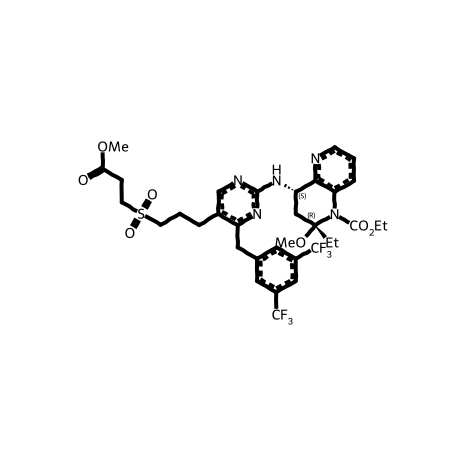 CCOC(=O)N1c2cccnc2[C@@H](Nc2ncc(CCCS(=O)(=O)CCC(=O)OC)c(Cc3cc(C(F)(F)F)cc(C(F)(F)F)c3)n2)C[C@@]1(CC)OC